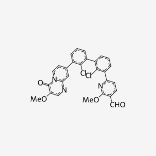 COc1nc(-c2cccc(-c3cccc(-c4ccn5c(=O)c(OC)cnc5c4)c3Cl)c2Cl)ccc1C=O